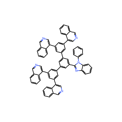 c1ccc(-n2c(-c3cc(-c4cc(-c5cncc6ccccc56)cc(-c5cncc6ccccc56)c4)cc(-c4cc(-c5cncc6ccccc56)cc(-c5cncc6ccccc56)c4)c3)nc3ccccc32)cc1